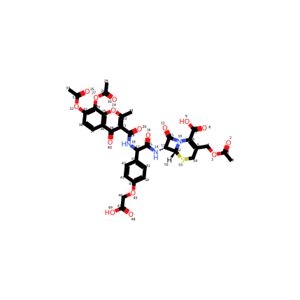 CC(=O)OCC1=C(C(=O)O)N2C(=O)[C@@H](NC(=O)C(NC(=O)c3c(C)oc4c(OC(C)=O)c(OC(C)=O)ccc4c3=O)c3ccc(OCC(=O)O)cc3)[C@H]2SC1